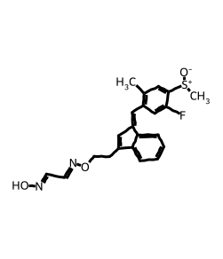 Cc1cc([S+](C)[O-])c(F)cc1/C=C1/C=C(CCON=CC=NO)c2ccccc21